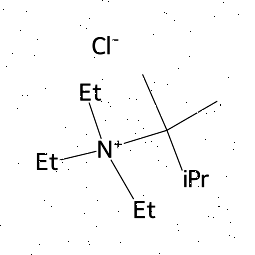 CC[N+](CC)(CC)C(C)(C)C(C)C.[Cl-]